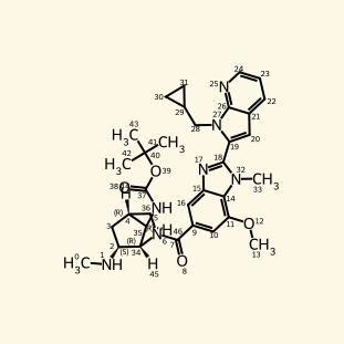 CN[C@H]1C[C@@H]2CN(C(=O)c3cc(OC)c4c(c3)nc(-c3cc5cccnc5n3CC3CC3)n4C)[C@H]1[C@@H]2NC(=O)OC(C)(C)C